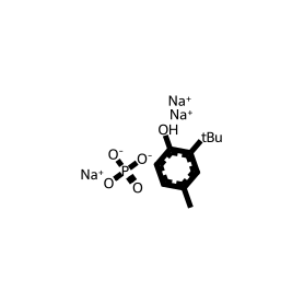 Cc1ccc(O)c(C(C)(C)C)c1.O=P([O-])([O-])[O-].[Na+].[Na+].[Na+]